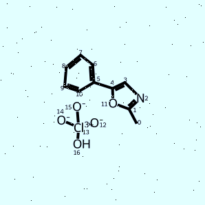 Cc1ncc(-c2ccccc2)o1.[O-][Cl+3]([O-])([O-])O